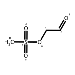 CS(=O)(=O)OCC=O